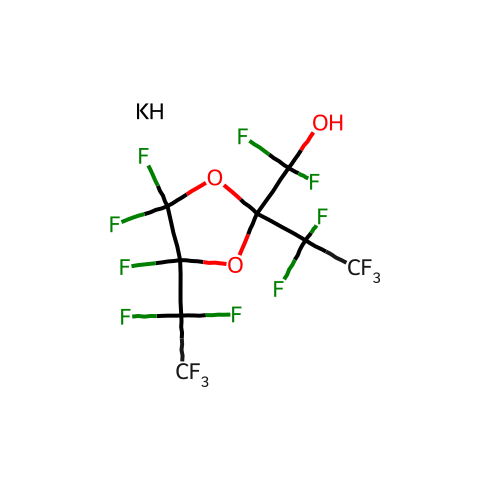 OC(F)(F)C1(C(F)(F)C(F)(F)F)OC(F)(F)C(F)(C(F)(F)C(F)(F)F)O1.[KH]